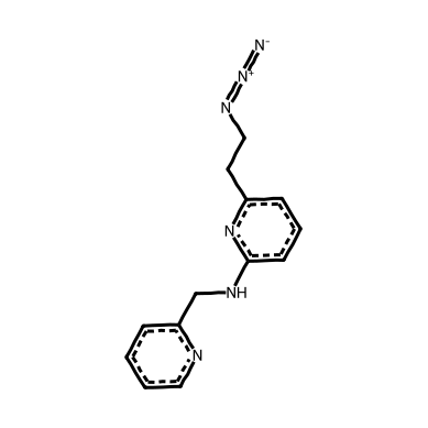 [N-]=[N+]=NCCc1cccc(NCc2ccccn2)n1